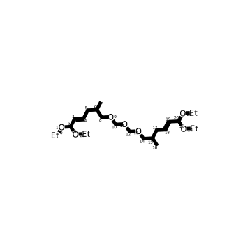 CCOC(C=CCC(C)COCOCOCC(C)CC=CC(OCC)OCC)OCC